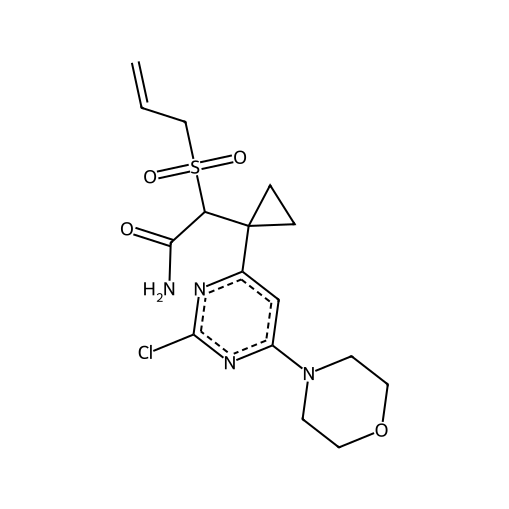 C=CCS(=O)(=O)C(C(N)=O)C1(c2cc(N3CCOCC3)nc(Cl)n2)CC1